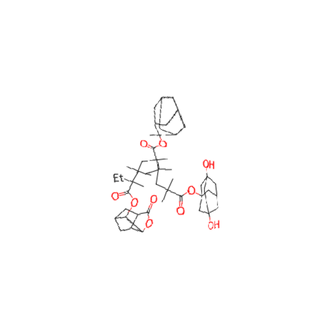 CCC(C)(C(=O)OC1C2CC3C(=O)OC1C3C2)C(C)(C)CC(C)(C(=O)OC1(C)C2CC3CC(C2)CC1C3)C(C)(C)CC(C)(C)C(=O)OC12CC3CC(O)(CC(O)(C3)C1)C2